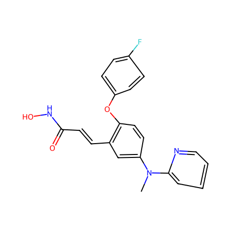 CN(c1ccc(Oc2ccc(F)cc2)c(/C=C/C(=O)NO)c1)c1ccccn1